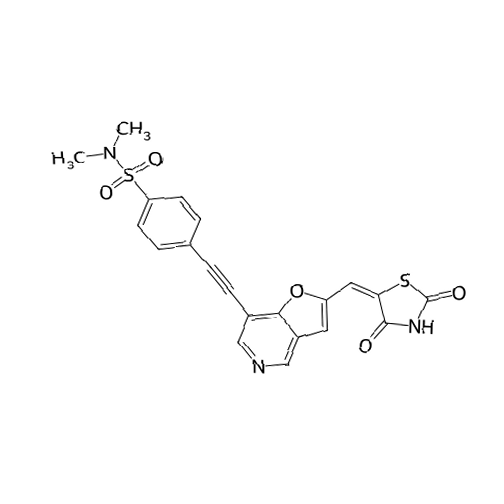 CN(C)S(=O)(=O)c1ccc(C#Cc2cncc3cc(C=C4SC(=O)NC4=O)oc23)cc1